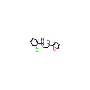 O=C(/C=C\Nc1ccccc1Cl)c1ccco1